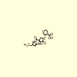 CCc1cc2[nH]c3c(c(=O)n2n1)CN(C[C@@H]1COCCN1C(=O)O)C3=O